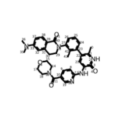 Cc1[nH]c(=O)c(Nc2ccc(C(=O)N3CCOCC3)cn2)cc1-c1cccc(N2CCc3cc(N(C)C)ccc3C2=O)c1C